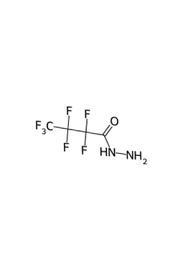 NNC(=O)C(F)(F)C(F)(F)C(F)(F)F